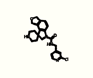 O=C(NCc1ccnc(Cl)c1)N1CC2(CCNCC2)c2c1ccc1c2COC1